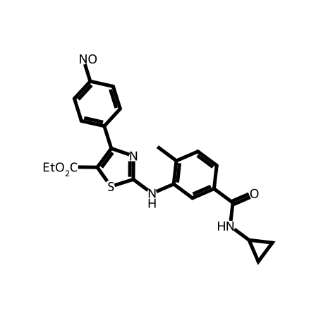 CCOC(=O)c1sc(Nc2cc(C(=O)NC3CC3)ccc2C)nc1-c1ccc(N=O)cc1